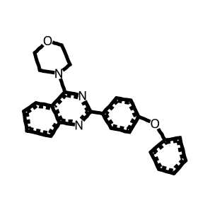 c1ccc(Oc2ccc(-c3nc(N4CCOCC4)c4ccccc4n3)cc2)cc1